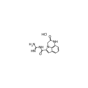 Cl.N=C(N)NC(=O)c1cc2cccc3c2n1CC(=O)N3